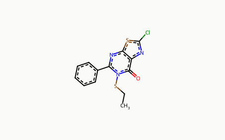 CCSn1c(-c2ccccc2)nc2sc(Cl)nc2c1=O